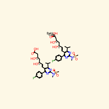 CC(C)c1nc(N(C)S(C)(=O)=O)nc(-c2ccc(F)cc2)c1C=C[C@@H](O)C[C@@H](O)CC(=O)O.CC(C)c1nc(N(C)S(C)(=O)=O)nc(-c2ccc(F)cc2)c1C=C[C@@H](O)C[C@@H](O)CC(=O)O.[BaH2].[CaH2]